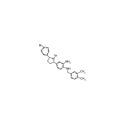 [2H]N1C(c2ccc(Br)cc2)CCC1c1ccc(NCc2ccc(C)c(C)c2)c(N)c1